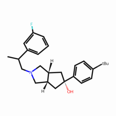 CC(CN1C[C@@H]2C[C@@](O)(c3ccc(C(C)(C)C)cc3)C[C@@H]2C1)c1cccc(F)c1